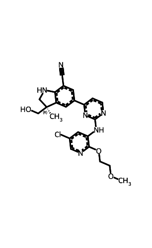 COCCOc1ncc(Cl)cc1Nc1nccc(-c2cc(C#N)c3c(c2)[C@@](C)(CO)CN3)n1